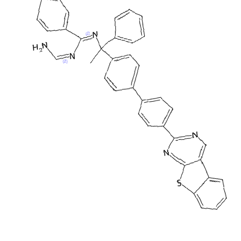 CC(/N=C(\N=C/N)c1ccccc1)(c1ccccc1)c1ccc(-c2ccc(-c3ncc4c(n3)sc3ccccc34)cc2)cc1